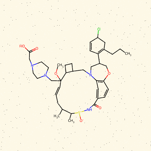 CCCC1=C(C2COc3ccc4cc3N(C2)CC2CCC2C(CN2CCN(CC(=O)O)CC2)(OC)/C=C/CC(C)C(C)[S+]([O-])NC4=O)C=CC(Cl)C1